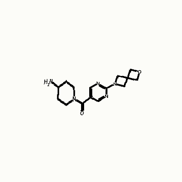 NC1CCN(C(=O)c2cnc(N3CC4(COC4)C3)nc2)CC1